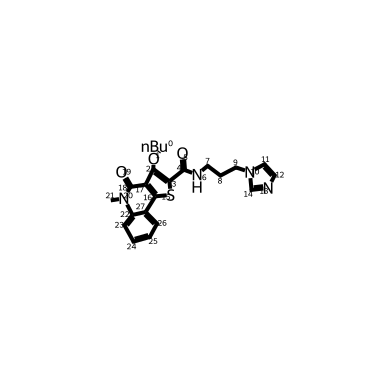 CCCCOc1c(C(=O)NCCCn2ccnc2)sc2c1c(=O)n(C)c1ccccc21